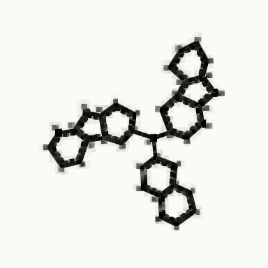 c1ccc2cc(N(c3ccc4oc5ncccc5c4c3)c3cnc4oc5ccccc5c4c3)ccc2c1